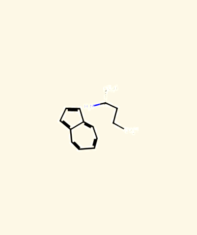 N[C@@H](CCC(=O)O)C(=O)O.c1ccc2cccc-2cc1